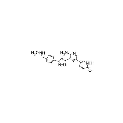 CNCc1ccc(-c2cc(-c3nc(-c4ccc(=O)[nH]c4)cnc3N)on2)cc1